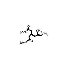 C/C=C(\C)C=C(CC(=O)OC)CC(=O)OC